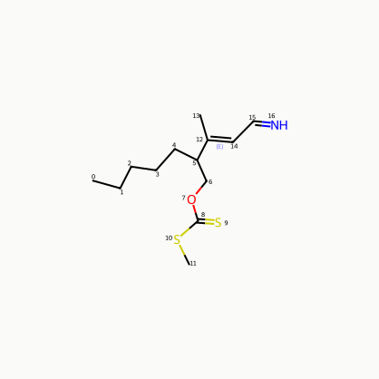 CCCCCC(COC(=S)SC)/C(C)=C/C=N